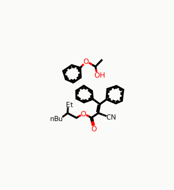 CC(O)Oc1ccccc1.CCCCC(CC)COC(=O)C(C#N)=C(c1ccccc1)c1ccccc1